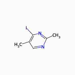 Cc1ncc(C)c(I)n1